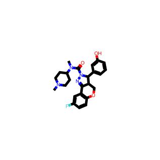 CN1CCC(N(C)C(=O)N2N=C3c4cc(F)ccc4OCC3C2c2cccc(O)c2)CC1